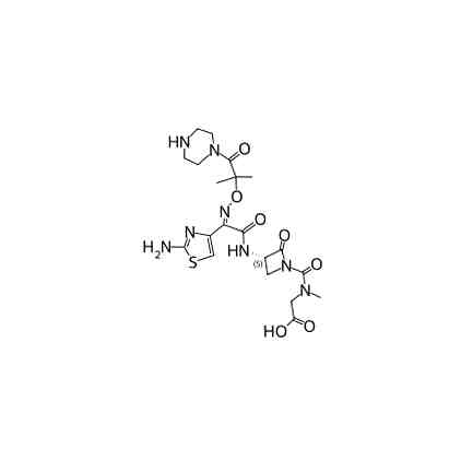 CN(CC(=O)O)C(=O)N1C[C@H](NC(=O)C(=NOC(C)(C)C(=O)N2CCNCC2)c2csc(N)n2)C1=O